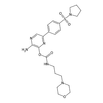 Nc1ncc(-c2ccc(S(=O)(=O)N3CCCC3)cc2)nc1OC(=O)NCCCN1CCOCC1